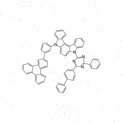 c1ccc(-c2ccc(-c3nc(-c4ccccc4)nc(-n4c5ccccc5c5c6c7ccccc7n(-c7cccc(-c8ccc9c%10ccccc%10c%10ccccc%10c9c8)c7)c6ccc54)n3)cc2)cc1